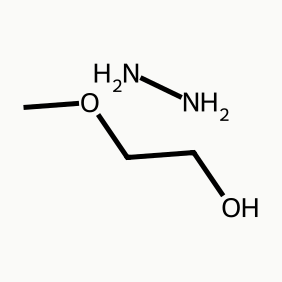 COCCO.NN